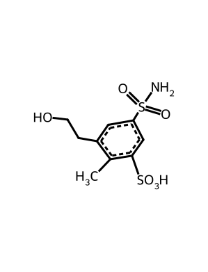 Cc1c(CCO)cc(S(N)(=O)=O)cc1S(=O)(=O)O